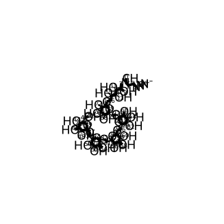 CN(CCN=[N+]=[N-])CC(O)[C@@H](O)[C@H](O)[C@H](O)COC1O[C@H](CO[C@@H]2O[C@H](COC3O[C@H](CO[C@@H]4O[C@H](COC5O[C@H](CO)[C@@H](O)C(O)[C@H]5O)[C@@H](O)[C@H](O)C4O)[C@@H](O)C(O)[C@H]3O)[C@@H](O)[C@H](O)C2O)[C@@H](O)[C@H](O)[C@H]1O